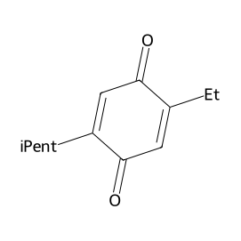 CCCC(C)C1=CC(=O)C(CC)=CC1=O